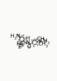 CC(C)(C)c1ccc(C(=O)NCc2ccc(N)cc2C(F)(F)F)cc1